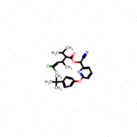 CC(C)C(C(=O)OC(C#N)c1cccc(Oc2ccc(C(C)(C)C)cc2)n1)C(C)C=C(Cl)Cl